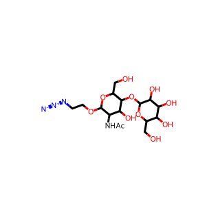 CC(=O)NC1C(OCCN=[N+]=[N-])OC(CO)C(OC2OC(CO)C(O)C(O)C2O)C1O